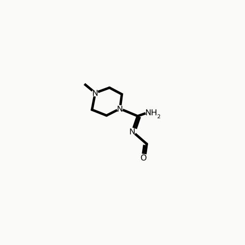 CN1CCN(/C(N)=N/C=O)CC1